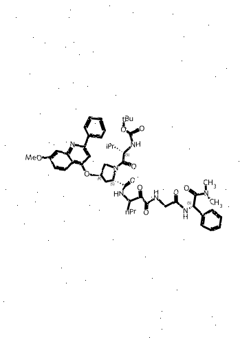 CCCC(NC(=O)[C@@H]1C[C@@H](Oc2cc(-c3ccccc3)nc3cc(OC)ccc23)CN1C(=O)[C@@H](NC(=O)OC(C)(C)C)C(C)C)C(=O)C(=O)NCC(=O)N[C@H](C(=O)N(C)C)c1ccccc1